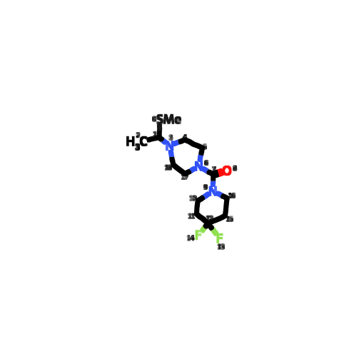 CSC(C)N1CCN(C(=O)N2CCC(F)(F)CC2)CC1